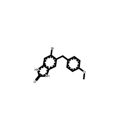 COc1ccc(Cc2cc3[nH]c(=O)[nH]c3cc2Br)cc1